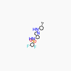 O=S(=O)(Nc1cccc2nc(Nc3cccc(C4CC4)c3)ccc12)c1cc(F)cc(F)c1